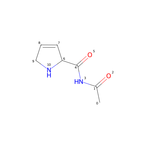 CC(=O)NC(=O)C1C=CCN1